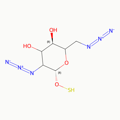 [N-]=[N+]=NCC1O[C@H](OS)C(N=[N+]=[N-])C(O)[C@H]1O